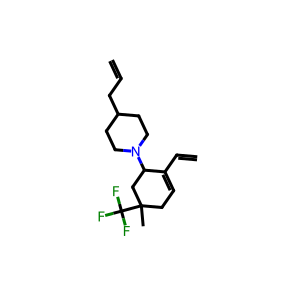 C=CCC1CCN(C2CC(C)(C(F)(F)F)CC=C2C=C)CC1